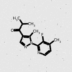 Cc1ccnc(-n2ncc(C(=O)C(C)C)c2C)c1F